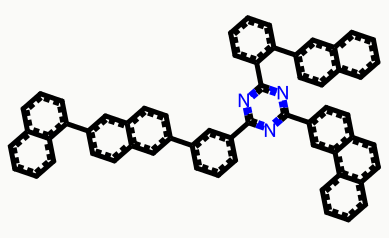 c1cc(-c2ccc3cc(-c4cccc5ccccc45)ccc3c2)cc(-c2nc(-c3ccc4ccc5ccccc5c4c3)nc(-c3ccccc3-c3ccc4ccccc4c3)n2)c1